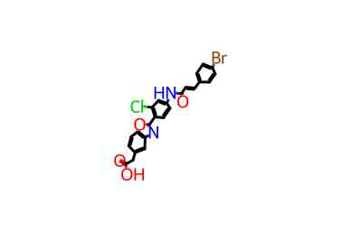 O=C(O)Cc1ccc2oc(-c3ccc(NC(=O)/C=C/c4ccc(Br)cc4)cc3Cl)nc2c1